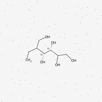 CCC(CO)[C@@H](O)[C@H](O)C(O)CO